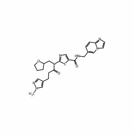 Cn1cc(CCC(=O)N(CC2CCCO2)c2ncc(C(=O)NCc3ccc4nccn4c3)s2)cn1